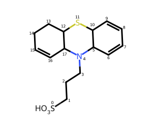 O=S(=O)(O)CCCN1C2C=CC=CC2SC2CCC=CC21